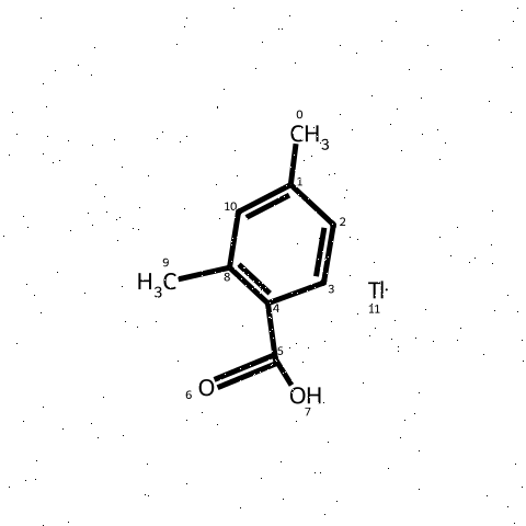 Cc1ccc(C(=O)O)c(C)c1.[Tl]